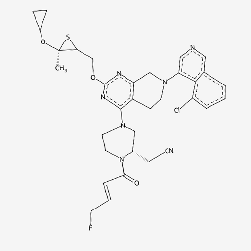 C[C@]1(OC2CC2)SC1COc1nc2c(c(N3CCN(C(=O)/C=C/CF)[C@@H](CC#N)C3)n1)CCN(c1cncc3cccc(Cl)c13)C2